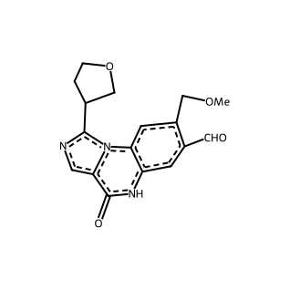 COCc1cc2c(cc1C=O)[nH]c(=O)c1cnc(C3CCOC3)n12